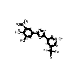 O=[N+]([O-])c1cc(-c2nnc(-c3cc(C(F)(F)F)c[n+]([O-])c3)o2)cc(O)c1O